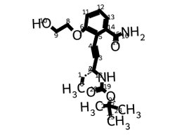 CC[C@H](C#Cc1c(OCCO)cccc1C(N)=O)NC(=O)OC(C)(C)C